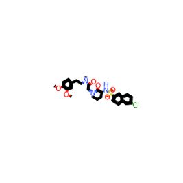 COc1ccc(CCN(C)C(=O)CN2CCC[C@H](NS(=O)(=O)c3ccc4cc(Cl)ccc4c3)C2=O)cc1OC